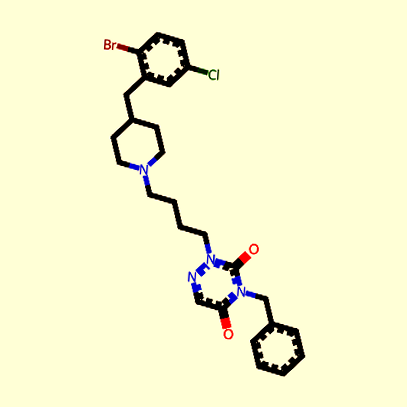 O=c1cnn(CCCCN2CCC(Cc3cc(Cl)ccc3Br)CC2)c(=O)n1Cc1ccccc1